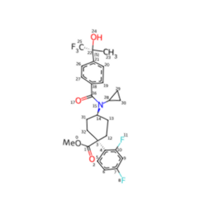 COC(=O)[C@]1(c2ccc(F)cc2F)CC[C@H](N(C(=O)c2ccc([C@](C)(O)C(F)(F)F)cc2)C2CC2)CC1